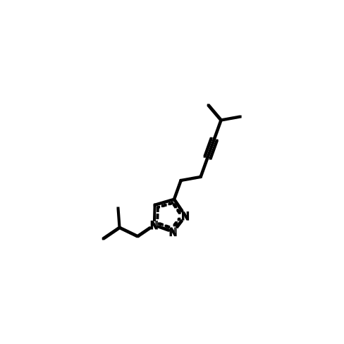 CC(C)C#CCCc1cn(CC(C)C)nn1